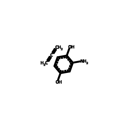 C=C=C.Nc1cc(O)ccc1O